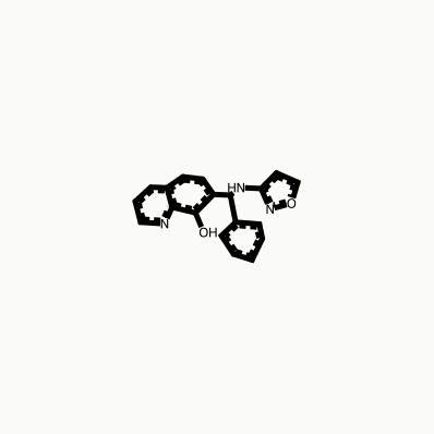 Oc1c(C(Nc2ccon2)c2ccccc2)ccc2cccnc12